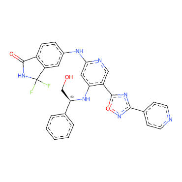 O=C1NC(F)(F)c2cc(Nc3cc(N[C@H](CO)c4ccccc4)c(-c4nc(-c5ccncc5)no4)cn3)ccc21